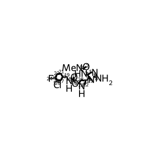 CNC(=O)Nc1cnc(N)nc1-c1c[nH]c(OC(=O)NCc2ccc(F)c(Cl)c2)c1